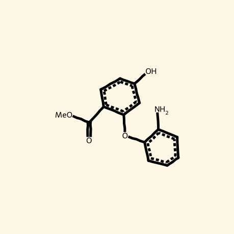 COC(=O)c1ccc(O)cc1Oc1ccccc1N